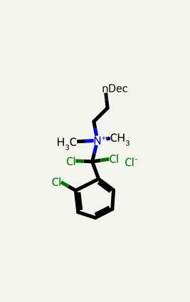 CCCCCCCCCCCC[N+](C)(C)C(Cl)(Cl)c1ccccc1Cl.[Cl-]